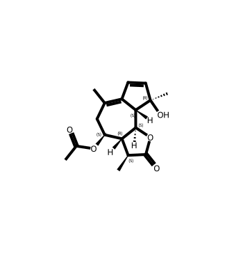 CC(=O)O[C@H]1CC(C)=C2C=C[C@@](C)(O)[C@@H]2[C@H]2OC(=O)[C@@H](C)[C@@H]21